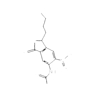 CCCCC1OC(=O)c2cc(NC(C)=O)c([N+](=O)[O-])cc21